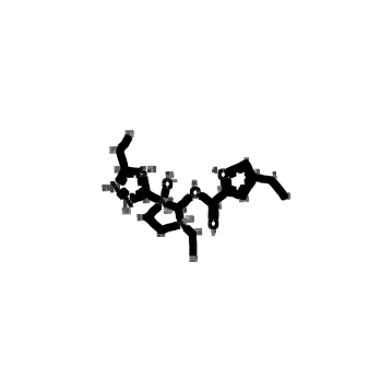 CCc1coc(C(=O)OC2N(CC)CC[N+]2([O-])c2nnc(CC)s2)c1